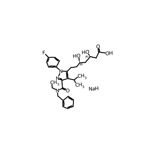 CCN(Cc1ccccc1)C(=O)c1nn(-c2ccc(F)cc2)c(CC[C@@H](O)C[C@@H](O)CC(=O)O)c1C(C)C.[NaH]